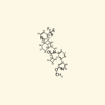 COc1cc(-c2cccc(N(CC3CCC4(c5cc(C(F)(F)F)ccn5)CCCC3C4)C(=O)C3CCC3)c2)ccn1